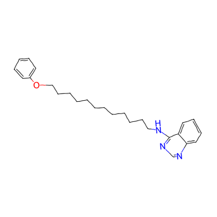 c1ccc(OCCCCCCCCCCCCNc2ncnc3ccccc23)cc1